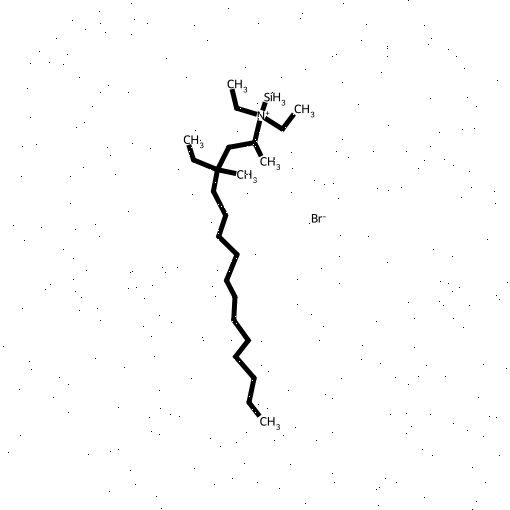 CCCCCCCCCCCCC(C)(CC)CC(C)[N+]([SiH3])(CC)CC.[Br-]